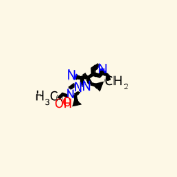 C=Cc1cc(-c2cc(C#N)c(N3CCN(C(=O)C[C@H](C)O)C(C4CC4)C3)nc2C2CC2)ccn1